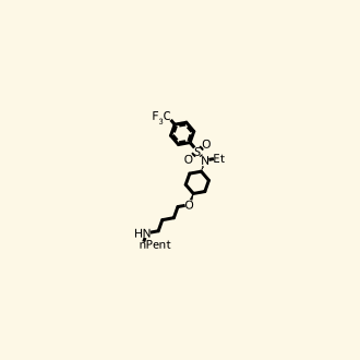 CCCCCNCCCCO[C@H]1CC[C@H](N(CC)S(=O)(=O)c2ccc(C(F)(F)F)cc2)CC1